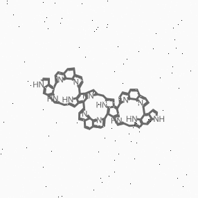 c1cc2c3c4[nH]c(cc4cc2[nH]1)Cc1cc2c4c5[nH]c(cc5c(c2[nH]1)-c1ccc2ccc5ccc-3nc5c2n1)Cc1cc2c3c5[nH]c(cc5c(c2[nH]1)-c1ccc2ccc5ccc-4nc5c2n1)Cc1cc2cc4[nH]ccc4c(c2[nH]1)-c1ccc2ccc4ccc-3nc4c2n1